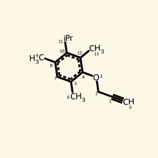 C#CCOc1c(C)cc(C)c(C(C)C)c1C